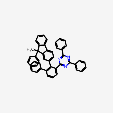 CC1(c2ccccc2)c2ccccc2-c2ccc(-c3c(-c4ccccc4)cccc3-c3nc(-c4ccccc4)nc(-c4ccccc4)n3)cc21